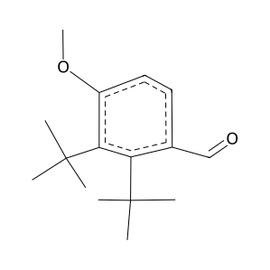 COc1ccc(C=O)c(C(C)(C)C)c1C(C)(C)C